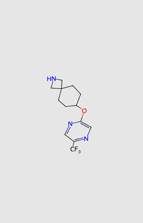 FC(F)(F)c1cnc(OC2CCC3(CC2)CNC3)cn1